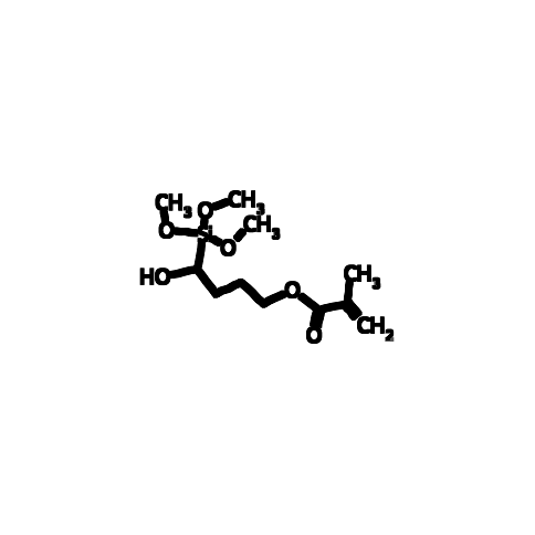 C=C(C)C(=O)OCCCC(O)[Si](OC)(OC)OC